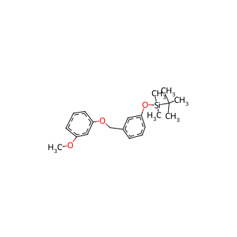 COc1cccc(OCc2cccc(O[Si](C)(C)C(C)(C)C)c2)c1